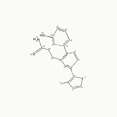 Cc1ccsc1-c1ccc(-c2cccc(O)c2)c(CCC(N)=O)c1